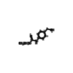 CN(O)C(=O)Nc1ccc(CO)cc1